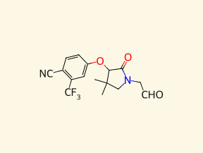 CC1(C)CN(CC=O)C(=O)C1Oc1ccc(C#N)c(C(F)(F)F)c1